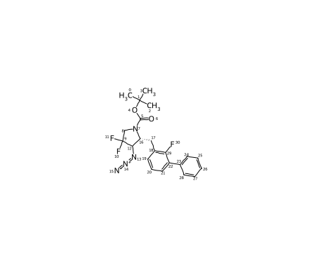 CC(C)(C)OC(=O)N1CC(F)(F)C(N=[N+]=[N-])[C@H]1Cc1cccc(-c2ccccc2)c1F